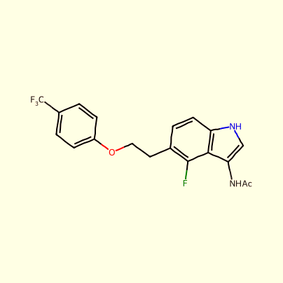 CC(=O)Nc1c[nH]c2ccc(CCOc3ccc(C(F)(F)F)cc3)c(F)c12